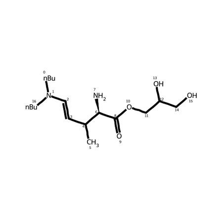 CCCCN(/C=C/C(C)[C@@H](N)C(=O)OCC(O)CO)CCCC